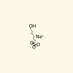 O=S(=O)([O-])CCCCCCO.[Na+]